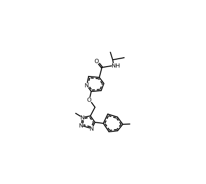 Cc1ccc(-c2nnn(C)c2COc2ccc(C(=O)NC(C)C)cn2)cc1